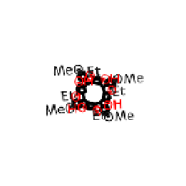 CCOc1cc(O)c2cc1C(c1ccc(OC)cc1)c1cc(c(OCC)cc1O)C(c1ccc(OC)cc1)c1cc(c(OCC)cc1O)C(c1ccc(OC)cc1)c1cc(c(OCC)cc1O)C2c1ccc(OC)cc1